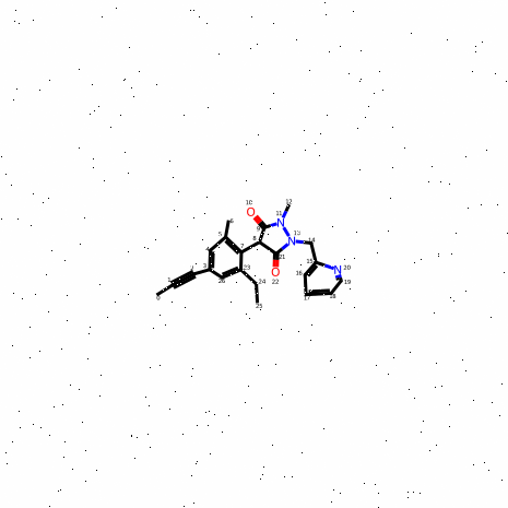 CC#Cc1cc(C)c(C2C(=O)N(C)N(Cc3ccccn3)C2=O)c(CC)c1